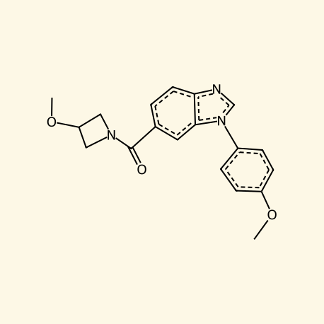 COc1ccc(-n2cnc3ccc(C(=O)N4CC(OC)C4)cc32)cc1